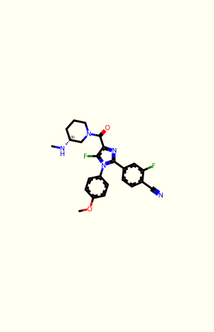 CN[C@@H]1CCCN(C(=O)c2nc(-c3ccc(C#N)c(F)c3)n(-c3ccc(OC)cc3)c2F)C1